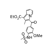 CCOC(=O)c1c(C)c(C(=O)c2ccc(NS(C)(=O)=O)c(OC)c2)n2ccccc12